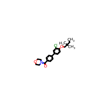 CCC(C)(C)COc1ccc(-c2ccc(C(=O)N3CCOCC3)cc2)cc1Cl